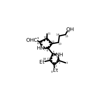 CCc1c(C)[nH]c(-c2[nH]c(C=O)c(C)c2CCCO)c1CC